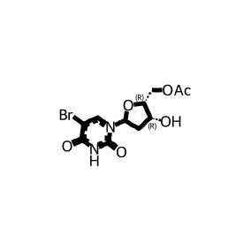 CC(=O)OC[C@H]1OC(n2cc(Br)c(=O)[nH]c2=O)C[C@H]1O